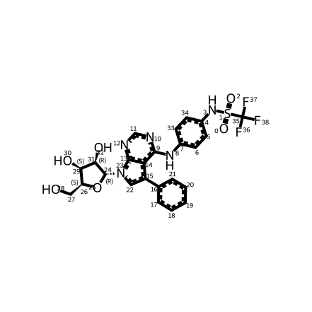 O=S(=O)(Nc1ccc(Nc2ncnc3c2c(-c2ccccc2)cn3[C@@H]2O[C@@H](CO)[C@@H](O)[C@H]2O)cc1)C(F)(F)F